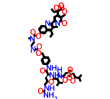 CCc1c2c(nc3ccc(OC(=O)N(C)CCN(C)C(=O)OCc4ccc(NC(=O)[C@H](CCCNC(N)=O)NC(=O)[C@@H](NC(=O)CS(=O)(=O)CC(=O)C(C)C)C(C)C)cc4)cc13)-c1cc3c(c(=O)n1C2)COC(=O)[C@]3(O)CC